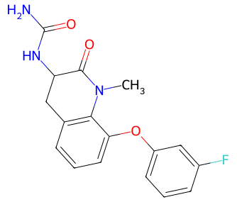 CN1C(=O)C(NC(N)=O)Cc2cccc(Oc3cccc(F)c3)c21